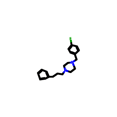 Fc1ccc(CN2CCN(CCCc3ccccc3)CC2)cc1